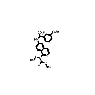 COc1cccc(C(Nc2ccc3c(N(OC(C)(C)C)C(=O)OC(C)(C)C)nccc3c2)C(=O)O)c1